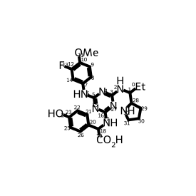 CCC(Nc1nc(Nc2ccc(OC)c(F)c2)nc(NC(C(=O)O)c2ccc(O)cc2)n1)C1CCCN1